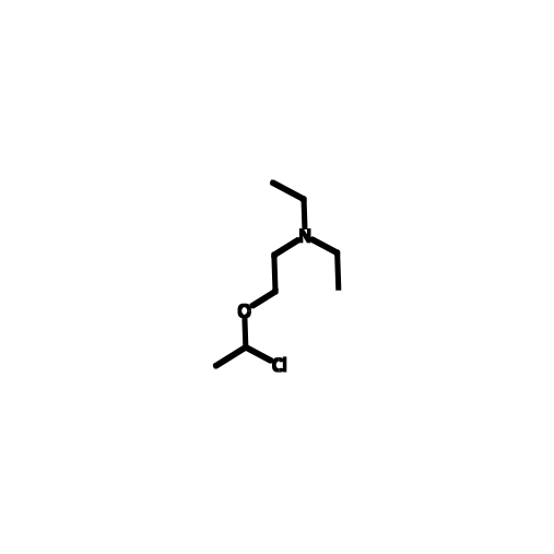 CCN(CC)CCOC(C)Cl